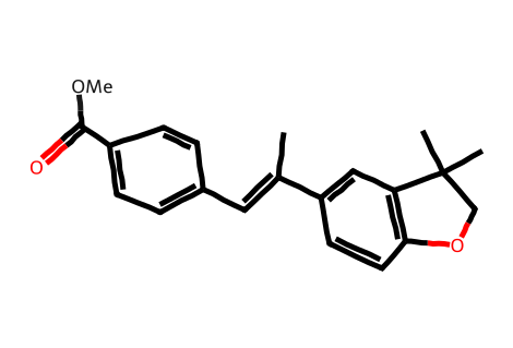 COC(=O)c1ccc(/C=C(\C)c2ccc3c(c2)C(C)(C)CO3)cc1